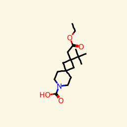 CCOC(=O)CC1(C(C)(C)C)CC2(CCN(C(=O)O)CC2)C1